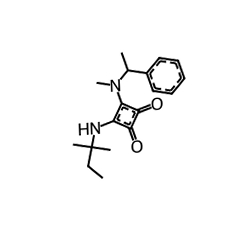 CCC(C)(C)Nc1c(N(C)C(C)c2ccccc2)c(=O)c1=O